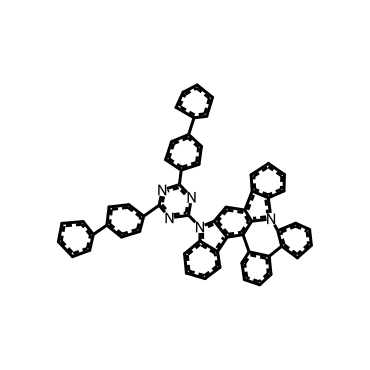 c1ccc(-c2ccc(-c3nc(-c4ccc(-c5ccccc5)cc4)nc(-n4c5ccccc5c5c6c7c(cc54)c4ccccc4n7-c4ccccc4-c4ccccc4-6)n3)cc2)cc1